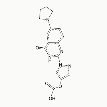 O=C(O)Oc1cnn(-c2nc3ccc(N4CCCC4)cc3c(=O)[nH]2)c1